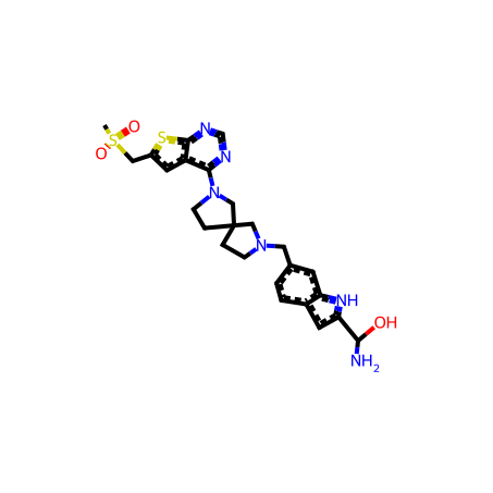 CS(=O)(=O)Cc1cc2c(N3CCC4(CCN(Cc5ccc6cc(C(N)O)[nH]c6c5)C4)C3)ncnc2s1